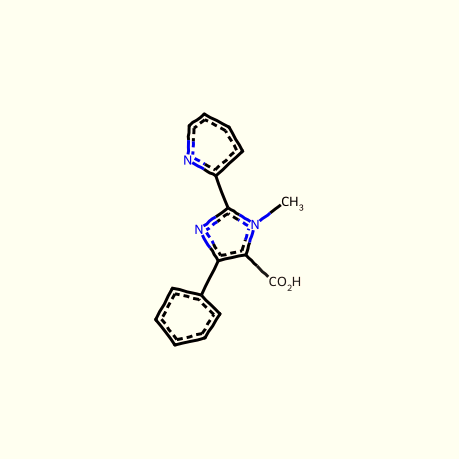 Cn1c(-c2ccccn2)nc(-c2ccccc2)c1C(=O)O